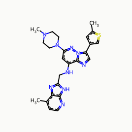 Cc1cc(-c2cnc3c(NCc4nc5c(C)ccnc5[nH]4)cc(N4CCN(C)CC4)nn23)cs1